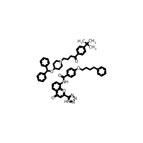 CC(C)(C)c1ccc(C(=O)CCCN2CCC(OC(c3ccccc3)c3ccccc3)CC2)cc1.O=C(Nc1cccc2c(=O)cc(-c3nnn[nH]3)oc12)c1ccc(OCCCCc2ccccc2)cc1